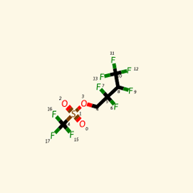 O=S(=O)(OCC(F)(F)C(F)C(F)(F)F)C(F)(F)F